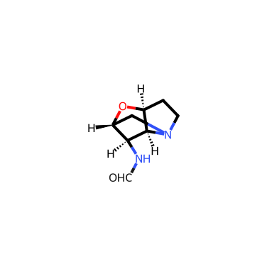 O=CN[C@@H]1[C@H]2[C@@H]3CCN2C[C@H]1O3